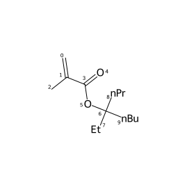 C=C(C)C(=O)OC(CC)(CCC)CCCC